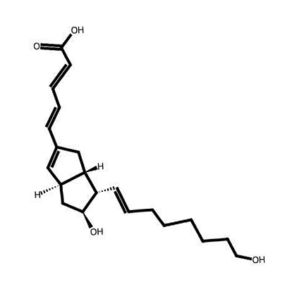 O=C(O)/C=C/C=CC1=C[C@@H]2C[C@H](O)[C@@H](C=CCCCCCCO)[C@H]2C1